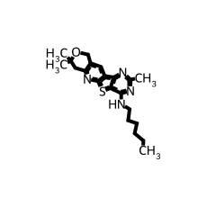 CCCCCCNc1nc(C)nc2c1sc1nc3c(cc12)COC(C)(C)C3